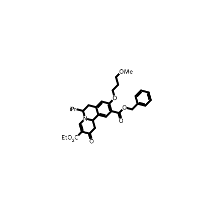 CCOC(=O)C1=CN2C(CC1=O)c1cc(C(=O)OCc3ccccc3)c(OCCCOC)cc1CC2C(C)C